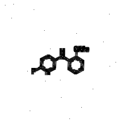 COc1ccccc1Nc1ccc(F)nc1